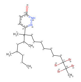 CCCC(C)CC(C)C(C)(CCCCCCCC(Br)(Br)C(C)(Br)Br)c1ccc(=O)[nH]n1